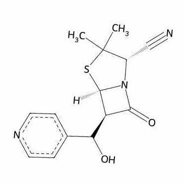 CC1(C)S[C@@H]2[C@H](C(O)c3ccncc3)C(=O)N2[C@H]1C#N